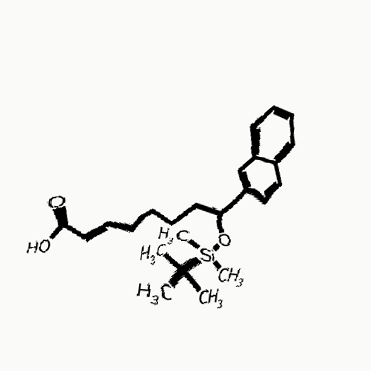 CC(C)(C)[Si](C)(C)OC(CCCCC=CC(=O)O)c1ccc2ccccc2c1